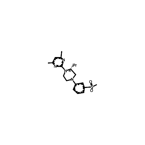 Cc1cc(C)nc(N2CCN(c3cccc(S(C)(=O)=O)c3)C[C@H]2C(C)C)n1